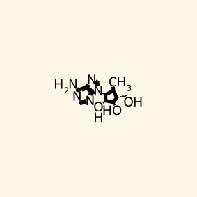 CC1[C@@H](n2cnc3c(N)ncnc32)[C@H](O)[C@H](O)[C@H]1CO